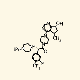 CC1C[C@@H](O)c2ncnc(N3CCN(C(=O)[C@@H](CN4CCN(C(C)C)CC4)c4ccc(C(F)(F)F)c(F)c4)CC3)c21